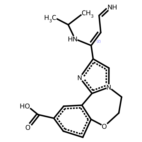 CC(C)N/C(=C\C=N)c1cn2c(n1)-c1cc(C(=O)O)ccc1OCC2